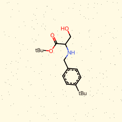 CC(C)(C)OC(=O)C(CO)NCc1ccc(C(C)(C)C)cc1